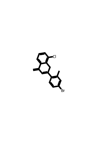 C=C1C=C(c2ccc(Br)cc2C)Cc2c(Cl)cccc21